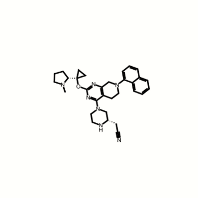 CN1CCC[C@@H]1C1(Oc2nc3c(c(N4CCN[C@@H](CC#N)C4)n2)CCN(c2cccc4ccccc24)C3)CC1